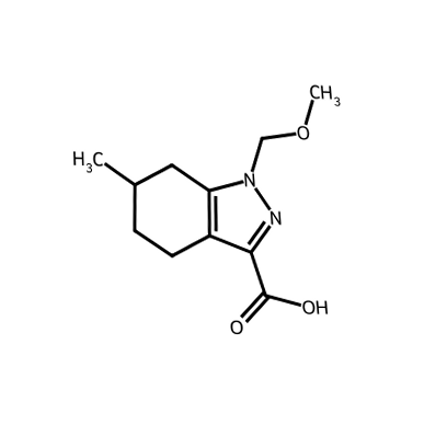 COCn1nc(C(=O)O)c2c1CC(C)CC2